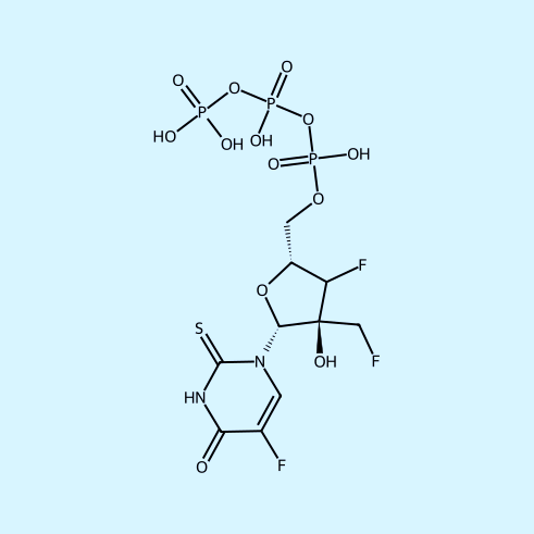 O=c1[nH]c(=S)n([C@@H]2O[C@H](COP(=O)(O)OP(=O)(O)OP(=O)(O)O)C(F)[C@]2(O)CF)cc1F